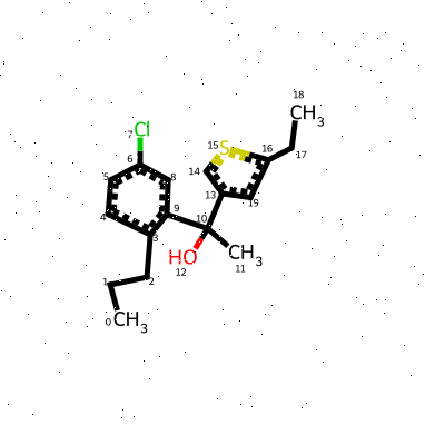 CCCc1ccc(Cl)cc1C(C)(O)c1csc(CC)c1